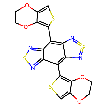 c1sc(-c2c3c(c(-c4scc5c4OCCO5)c4nsnc24)N=S=N3)c2c1OCCO2